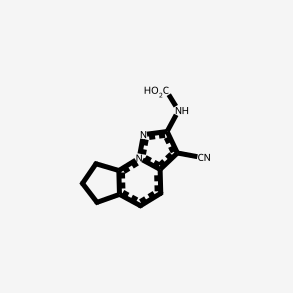 N#Cc1c(NC(=O)O)nn2c3c(ccc12)CCC3